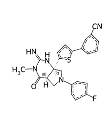 CN1C(=N)N[C@@]2(c3ccc(-c4cccc(C#N)c4)s3)CN(c3ccc(F)cc3)C[C@H]2C1=O